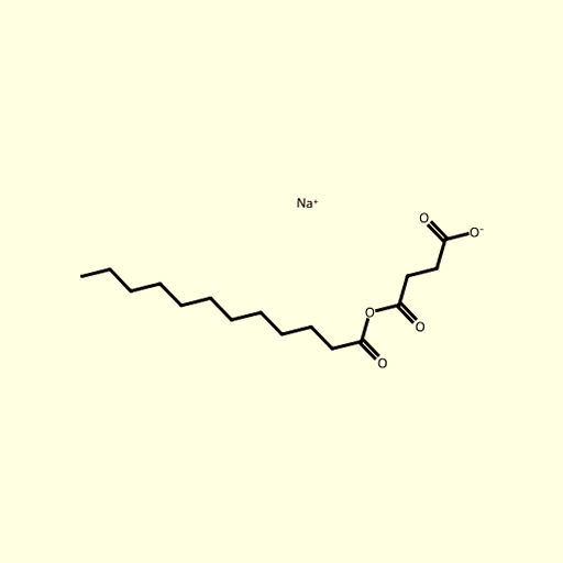 CCCCCCCCCCCC(=O)OC(=O)CCC(=O)[O-].[Na+]